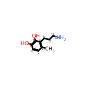 Cc1ccc(O)c(O)c1CCCN